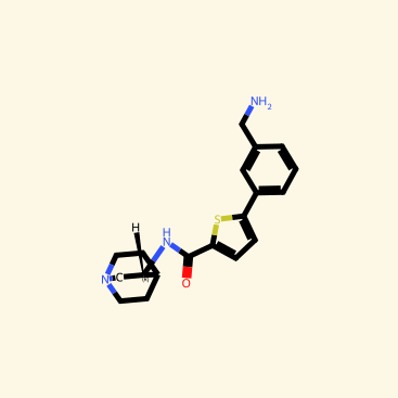 NCc1cccc(-c2ccc(C(=O)N[C@H]3CN4CCC3CC4)s2)c1